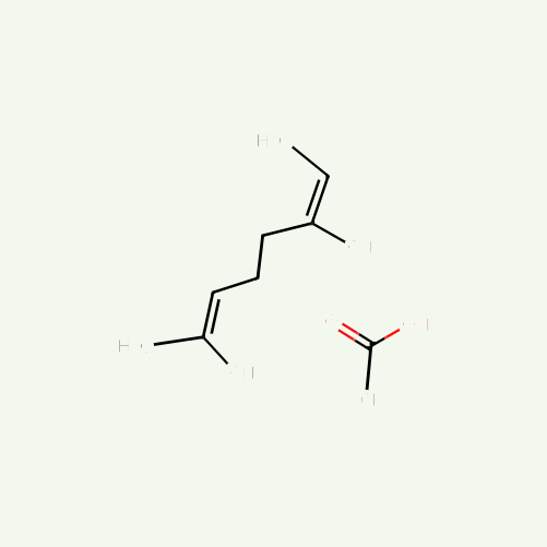 CC(=O)O.CC=C(C)CCC=C(C)C